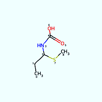 CCC(NC(=O)O)SC